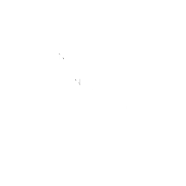 CC/C(=C\C(C)OC)N1C=CCN=C1